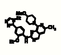 CCOc1cc(-c2nncn2CC)ccc1Nc1ncc2cc(C)nc(N3CCC(OC)CC3)c2n1